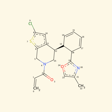 C=CC(=O)N1Cc2sc(Cl)cc2[C@@H](C2C=CC=CC2c2nc(C)co2)C1